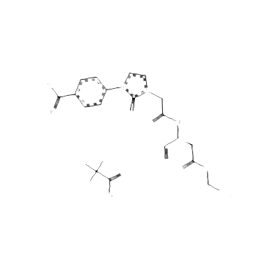 C=C[C@H](CC(=O)OCC)NC(=O)Cn1ccn(-c2ccc(C(=N)N)cc2)c1=O.O=C(O)C(F)(F)F